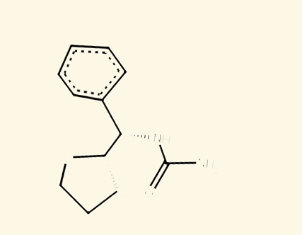 NC(=O)N[C@@H](c1ccccc1)[C@@H]1CCCO1